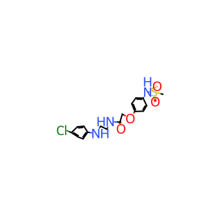 CS(=O)(=O)Nc1ccc(OCC(=O)NCCNc2ccc(Cl)cc2)cc1